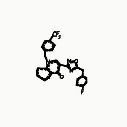 O=c1c(-c2noc(Cc3ccc(F)cc3)n2)cn(Cc2ccc(C(F)(F)F)cc2)c2ccccc12